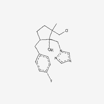 CC1(CCl)CCC(Cc2ccc(F)cc2)C1(O)Cn1cncn1